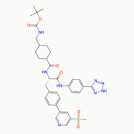 CC(C)(C)OC(=O)NCC1CCC(C(=O)N[C@@H](Cc2ccc(-c3cncc(S(C)(=O)=O)c3)cc2)C(=O)Nc2ccc(-c3nn[nH]n3)cc2)CC1